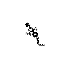 CNCCCOc1cc(F)c(-c2c(Cl)nc(-n3cccn3)nc2NC(C)C)c(F)c1